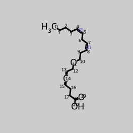 CCCC/C=C\C/C=C\CCOCC=C=CCCC(=O)O